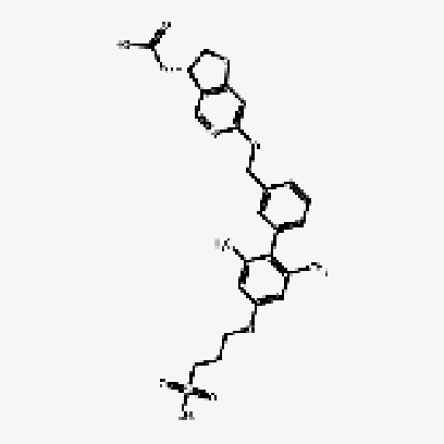 Cc1cc(OCCCS(C)(=O)=O)cc(C)c1-c1cccc(COc2cc3c(cn2)[C@H](CC(=O)O)CS3)c1